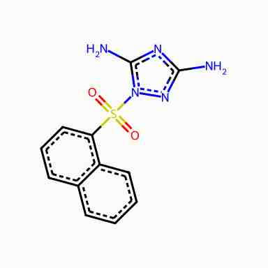 Nc1nc(N)n(S(=O)(=O)c2cccc3ccccc23)n1